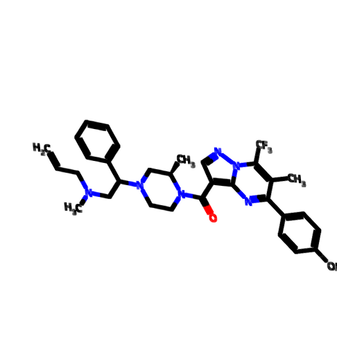 C=CCN(C)CC(c1ccccc1)N1CCN(C(=O)c2cnn3c(C(F)(F)F)c(C)c(-c4ccc(OC)cc4)nc23)[C@H](C)C1